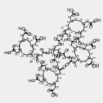 C[C@@H](C(=O)NCC(=O)NCC(CNC(=O)CNC(=O)[C@H](C)N1CCN(CC(=O)O)CCN(CC(=O)O)CCN(CC(=O)O)CC1)(CNC(=O)CNC(=O)[C@H](C)N1CCN(CC(=O)O)CCN(CC(=O)O)CCN(CC(=O)O)CC1)CNC(=O)CNC(=O)[C@H](C)N1CCN(CC(=O)O)CCN(CC(=O)O)CCN(CC(=O)O)CC1)N1CCN(CC(=O)O)CCN(CC(=O)O)CCN(CC(=O)O)CC1